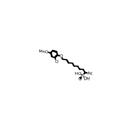 COc1ccc(OCCCCCCCCC(C(C)=O)P(=O)(O)O)c(Cl)c1